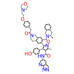 Cc1c(C(=O)Nc2cnc3c(cnn3C)c2)c(-c2ccc(O)cc2)c(-c2cc3c(cc2C(=O)N2Cc4ccccc4C[C@H]2C)CN(C(=O)Cc2ccc(OCCN4CCOCC4)cc2)CC3)n1C